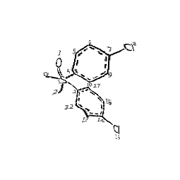 CS(C)(=O)(c1ccc(Cl)cc1)c1ccc(Cl)cc1